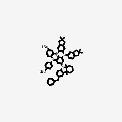 CC1(C)Cc2ccc(N3c4cc5c(cc4B4c6cc(C(C)(C)C)ccc6N(c6ccc(C(C)(C)C)cc6)c6cc(N7c8ccc(Cc9ccccc9)cc8C8(C)CCCCC78C)cc3c64)CC(C)(C)C5)cc2C1